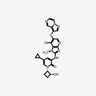 Cn1c(Nc2cc(C3CC3)cn([C@H]3CC[C@@H]3O)c2=O)nc2ncc(Oc3cnn4ccncc34)c(Cl)c21